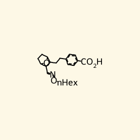 CCCCCCO/N=C/C1C2CCC(O2)C1CCc1ccc(C(=O)O)cc1